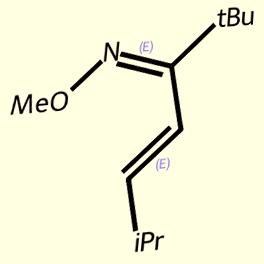 CO/N=C(\C=C\C(C)C)C(C)(C)C